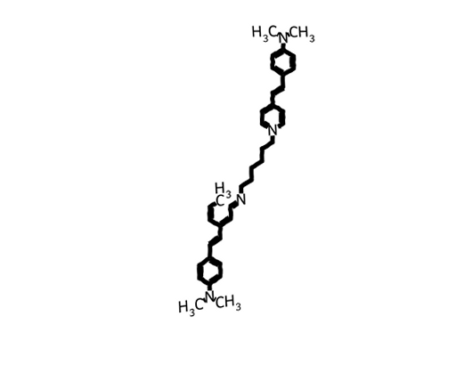 C\C=C/C(/C=C/c1ccc(N(C)C)cc1)=C\C=N\CCCCCC[n+]1ccc(/C=C/c2ccc(N(C)C)cc2)cc1